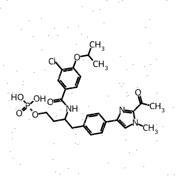 CC(=O)c1nc(-c2ccc(CC(CCOP(=O)(O)O)NC(=O)c3ccc(OC(C)C)c(Cl)c3)cc2)cn1C